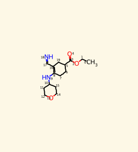 CCOC(=O)C1CCC(NC2CCOCC2)=C(C=N)C1